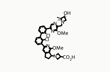 COc1nc(-c2cccc(-c3cccc(-c4cc5c(c(OC)n4)C(N4CC(C(=O)O)C4)CC5)c3Cl)c2Cl)cnc1CN1C[C@@H](O)[C@@H]1C